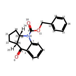 O=C1c2ccccc2N(C(=O)OCc2ccccc2)[C@H]2CCC[C@@H]12